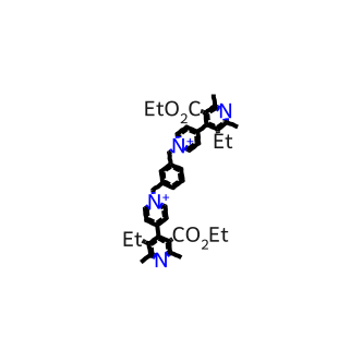 CCOC(=O)c1c(C)nc(C)c(CC)c1-c1cc[n+](Cc2cccc(C[n+]3ccc(-c4c(CC)c(C)nc(C)c4C(=O)OCC)cc3)c2)cc1